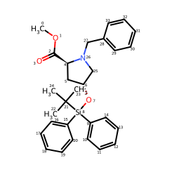 COC(=O)[C@@H]1C[C@@H](O[Si](c2ccccc2)(c2ccccc2)C(C)(C)C)CN1Cc1ccccc1